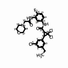 CCc1cc(Cl)cc(C2C(C(=O)Nc3ccc(F)c(NC(=O)CN4CCOCC4)c3)C2(Cl)Cl)c1